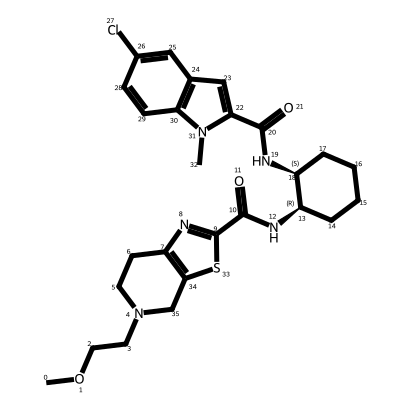 COCCN1CCc2nc(C(=O)N[C@@H]3CCCC[C@@H]3NC(=O)c3cc4cc(Cl)ccc4n3C)sc2C1